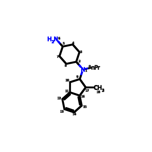 CCCN(C1CCC(N)CC1)C1Cc2ccccc2C1C